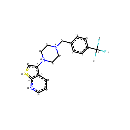 FC(F)(F)c1ccc(CN2CCN(c3csc4ncccc34)CC2)cc1